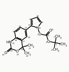 CC(C)(C)OC(=O)On1cccc1-c1ccc2c(c1)C(C)(C)OC(=O)N2